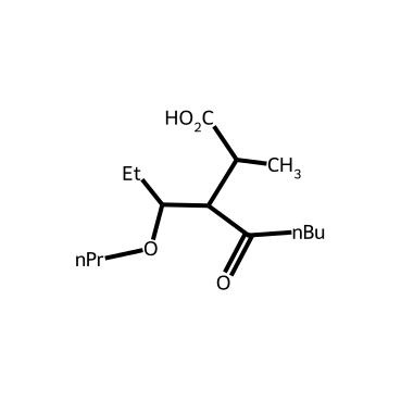 CCCCC(=O)C(C(CC)OCCC)C(C)C(=O)O